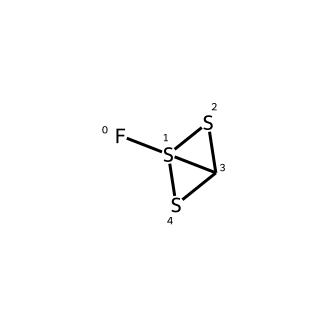 FS12SC1S2